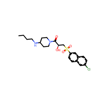 CCCCNC1CCN(C(=O)[C@H](O)CS(=O)(=O)c2ccc3cc(Cl)ccc3c2)CC1